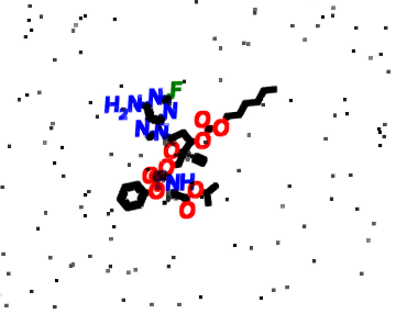 C#C[C@]1(CO[P@@](=O)(N[C@@H](C)C(=O)OC(C)C)Oc2ccccc2)O[C@@H](n2cnc3c(N)nc(F)nc32)CC1OC(=O)OCCCCCC